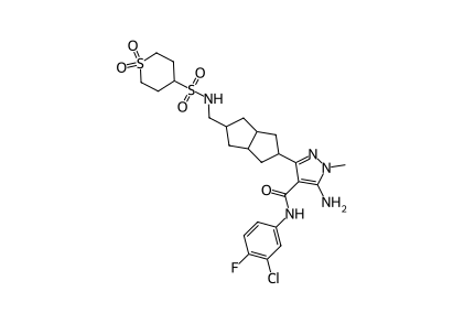 Cn1nc(C2CC3CC(CNS(=O)(=O)C4CCS(=O)(=O)CC4)CC3C2)c(C(=O)Nc2ccc(F)c(Cl)c2)c1N